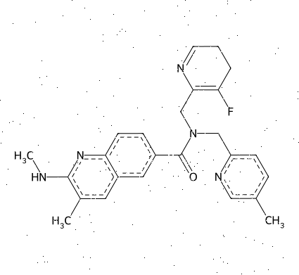 CNc1nc2ccc(C(=O)N(CC3=C(F)CCC=N3)Cc3ccc(C)cn3)cc2cc1C